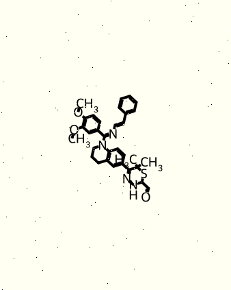 COc1ccc(C(=NC=Cc2ccccc2)N2CCCc3cc(C4=NNC(C=O)SC4(C)C)ccc32)cc1OC